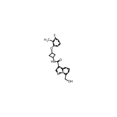 Cc1c(F)cccc1OC1CC(NC(=O)c2cnn3c(CO)cccc23)C1